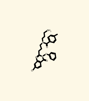 Cc1ccc(C(=O)N(CCCN)CCCc2nc3cc(Cl)ccc3c(=O)n2Oc2ccccc2)cc1